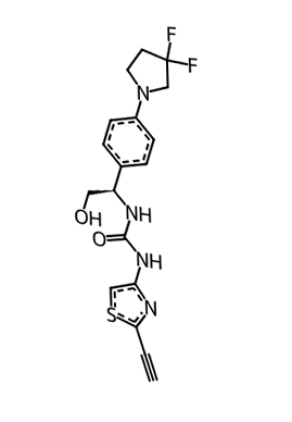 C#Cc1nc(NC(=O)N[C@@H](CO)c2ccc(N3CCC(F)(F)C3)cc2)cs1